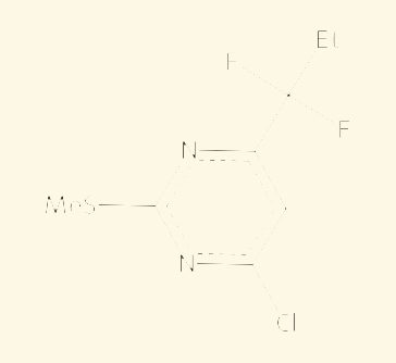 CCC(F)(F)c1cc(Cl)nc(SC)n1